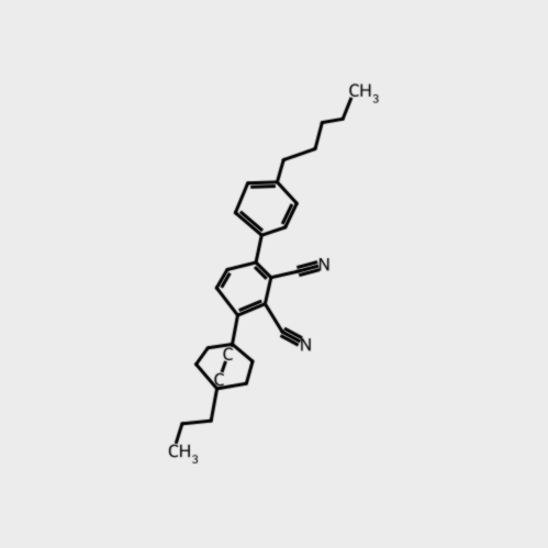 CCCCCc1ccc(-c2ccc(C34CCC(CCC)(CC3)CC4)c(C#N)c2C#N)cc1